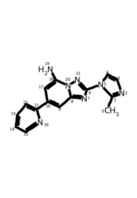 Cc1nccn1-c1nc2cc(-c3ccccn3)cc(N)n2n1